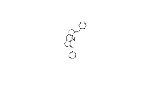 C(=C1CCc2cc3c(nc21)C(=Cc1ccccc1)CC3)c1ccccc1